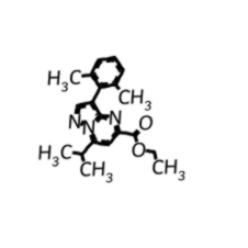 CCOC(=O)c1cc(C(C)C)n2ncc(-c3c(C)cccc3C)c2n1